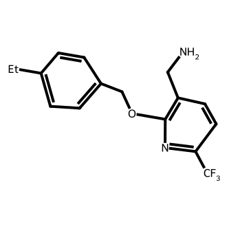 CCc1ccc(COc2nc(C(F)(F)F)ccc2CN)cc1